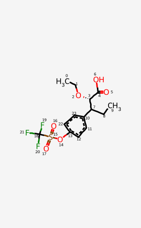 CCO[C@H](C(=O)O)C(CC)c1ccc(OS(=O)(=O)C(F)(F)F)cc1